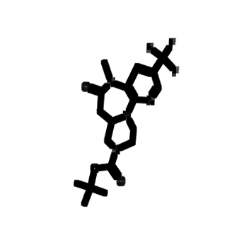 CN1C(=O)CC2CN(C(=O)OC(C)(C)C)CCN2c2ncc(C(F)(F)F)cc21